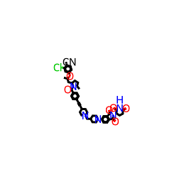 CC(CC1CCC(C)N1C(=O)c1ccc(C#CC2CCN(CC3CCN(c4ccc5c(c4)C(=O)N(C4CCC(=O)NC4=O)C5=O)CC3)CC2)cc1)Oc1ccc(C#N)c(Cl)c1